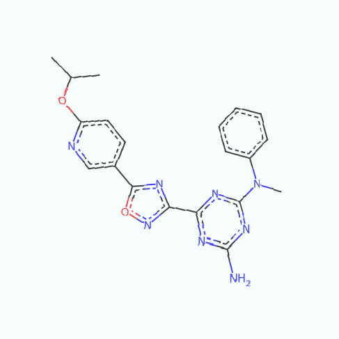 CC(C)Oc1ccc(-c2nc(-c3nc(N)nc(N(C)c4ccccc4)n3)no2)cn1